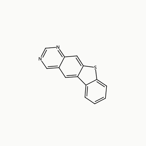 c1ccc2c(c1)sc1cc3ncncc3cc12